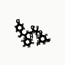 CC(c1ccc(Cl)cc1)C(CNC(=O)C(C)(C)Oc1cc(F)cc(F)c1)c1ccccc1